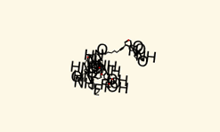 NC(=O)CC[C@H](NC(=O)[C@@H]1CC[C@@H]2CCN(C(=O)CCCCCC#Cc3cccc4c3CN(C3CCC(=O)NC3=O)C4=O)C[C@H](NC(=O)c3cc4cc(C(F)(F)P(=O)(O)O)ccc4[nH]3)C(=O)N21)C(=O)NC(c1cccc(F)c1)c1cccc(F)c1